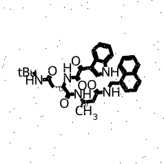 C[C@@H](CC(=O)NCc1cccc2ccccc12)NC(=O)[C@H](CC(=O)NC(C)(C)C)NC(=O)C(=O)c1c[nH]c2ccccc12